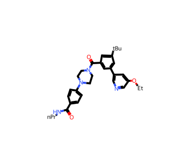 CCCNC(=O)c1ccc(N2CCN(C(=O)c3cc(-c4cncc(OCC)c4)cc(C(C)(C)C)c3)CC2)cc1